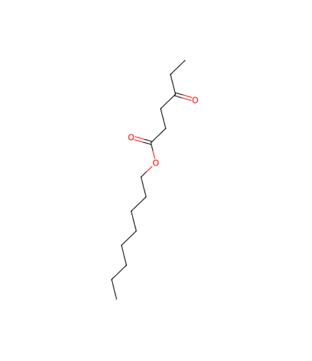 CCCCCCCCOC(=O)CCC(=O)CC